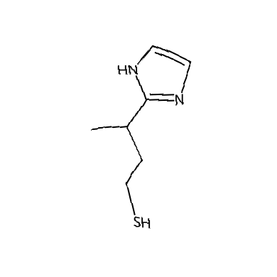 CC(CCS)c1ncc[nH]1